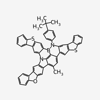 Cc1cc2c3c4c1c1cc5oc6ccccc6c5cc1n4-c1cc4c(cc1B3N(c1ccc(C(C)(C)C)cc1)c1cc3c(cc1-2)sc1ccccc13)sc1ccccc14